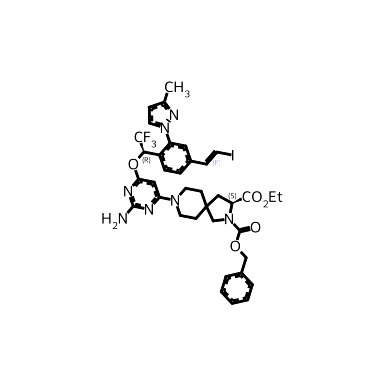 CCOC(=O)[C@@H]1CC2(CCN(c3cc(O[C@H](c4ccc(/C=C/I)cc4-n4ccc(C)n4)C(F)(F)F)nc(N)n3)CC2)CN1C(=O)OCc1ccccc1